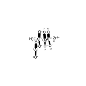 C.[O]=[Al][O-].[O]=[Al][O-].[O]=[Al][O-].[O]=[Al][O-].[Zr+4]